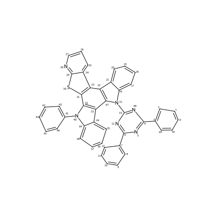 c1ccc(-c2nc(-c3ccccc3)nc(-n3c4ccccc4c4c5c6cccnc6sc5c5c(c6ccccc6n5-c5ccccc5)c43)n2)cc1